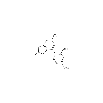 COc1ccc(-c2cc(C(F)(F)F)cc3c2OC(C)C3)c(OC)c1